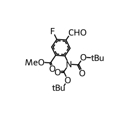 COC(=O)c1cc(F)c(C=O)cc1N(C(=O)OC(C)(C)C)C(=O)OC(C)(C)C